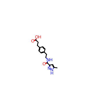 Cc1cc(C(=O)NCCc2ccc(CCC(=O)O)cc2)n[nH]1